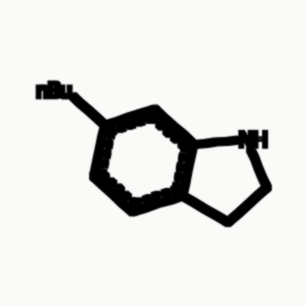 CCCCc1ccc2c(c1)NCC2